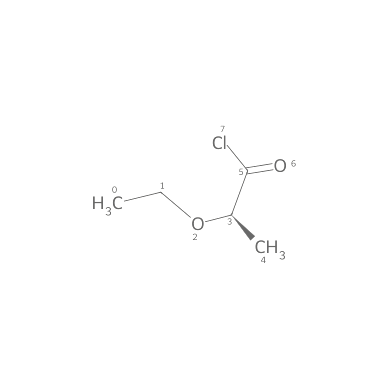 CCO[C@H](C)C(=O)Cl